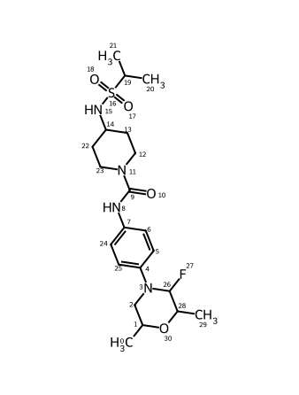 CC1CN(c2ccc(NC(=O)N3CCC(NS(=O)(=O)C(C)C)CC3)cc2)C(F)C(C)O1